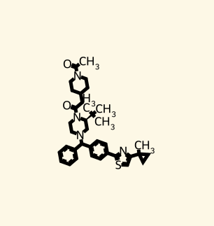 CC(=O)N1CCC(CC(=O)N2CCN(C(c3ccccc3)c3ccc(-c4nc(C5(C)CC5)cs4)cc3)C[C@@H]2C(C)(C)C)CC1